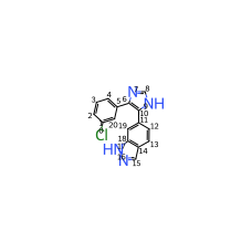 Clc1cccc(-c2nc[nH]c2-c2ccc3cn[nH]c3c2)c1